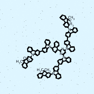 CC1(C)c2ccccc2-c2ccc(-n3c4ccccc4c4cc(-c5ccc6c(c5)c5ccccc5n6-c5cc(-n6c7ccccc7c7cc(-c8ccc9c(c8)c8ccccc8n9-c8ccc9c(c8)C(C)(C)c8ccccc8-9)ccc76)nc(-c6ccc(-n7c8ccccc8c8cc(-c9ccc%10c(c9)c9ccccc9n%10-c9ccc%10c(c9)C(C)(C)c9ccccc9-%10)ccc87)c7ccccc67)n5)ccc43)cc21